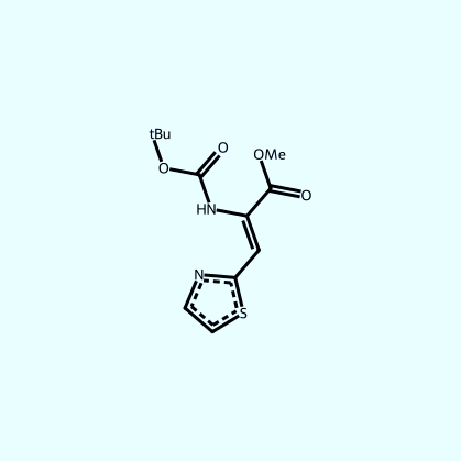 COC(=O)/C(=C/c1nccs1)NC(=O)OC(C)(C)C